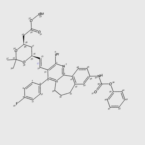 CC(C)c1nc2c(c(-c3ccc(F)cc3)c1/C=C/[C@@H]1C[C@H](CC(=O)OC(C)(C)C)OC(C)(C)O1)CCCc1cc(NC(=O)Oc3ccccc3)ccc1-2